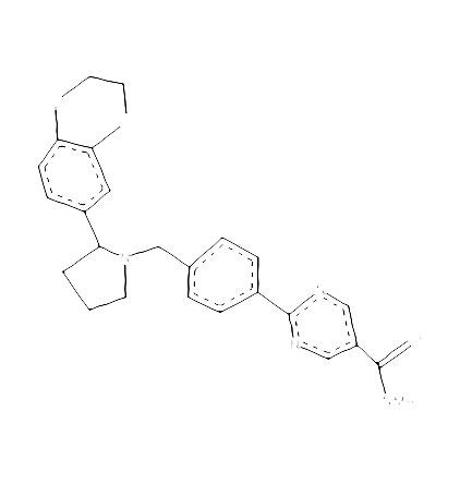 CNC(=O)c1cnc(-c2ccc(CN3CCCC3c3ccc4c(c3)OCCO4)cc2)nc1